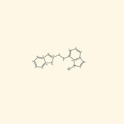 CCn1cnc2ccnc(SCc3cc4ccccc4s3)c21